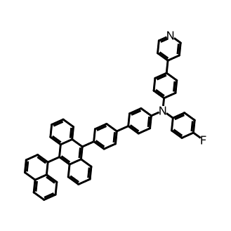 Fc1ccc(N(c2ccc(-c3ccncc3)cc2)c2ccc(-c3ccc(-c4c5ccccc5c(-c5cccc6ccccc56)c5ccccc45)cc3)cc2)cc1